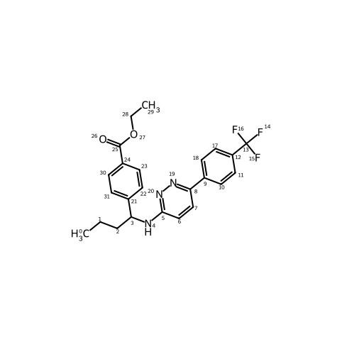 CCCC(Nc1ccc(-c2ccc(C(F)(F)F)cc2)nn1)c1ccc(C(=O)OCC)cc1